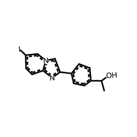 CC(O)c1ccc(-c2cn3cc(I)ccc3n2)cc1